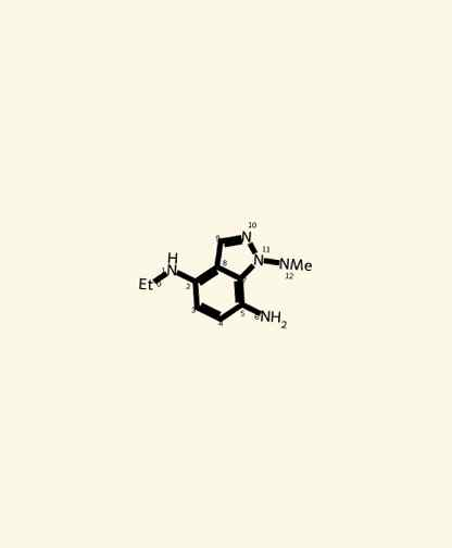 CCNc1ccc(N)c2c1cnn2NC